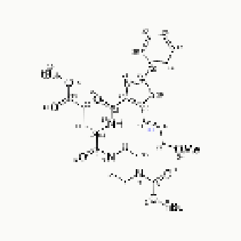 CCCCOC(=O)N1CCN(C(=O)[C@H](CCC(=O)OC(C)(C)C)NC(=O)c2nc(-c3ccccc3)sc2/C=C/COC)CC1